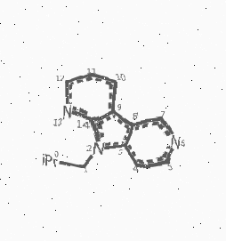 CC(C)Cn1c2ccncc2c2cccnc21